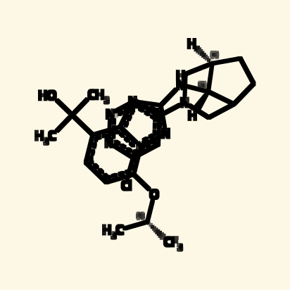 C[C@H](Oc1ccc(C(C)(C)O)c2nc(N[C@H]3C4CC[C@@H]3CN(c3cnnc(Cl)c3)C4)nn12)C(F)(F)F